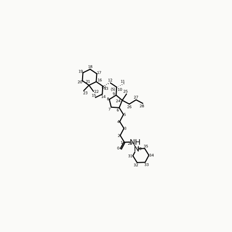 C=C(CCCCC1CCC([C@@H](C)C[C@H](CC)C2CCCCC2(C)C)C1(C)CCC)NN1CCCCC1